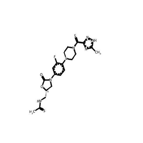 CC(=S)NC[C@H]1CN(c2ccc(N3CCN(C(=S)c4n[nH]c(C)n4)CC3)c(F)c2)C(=O)O1